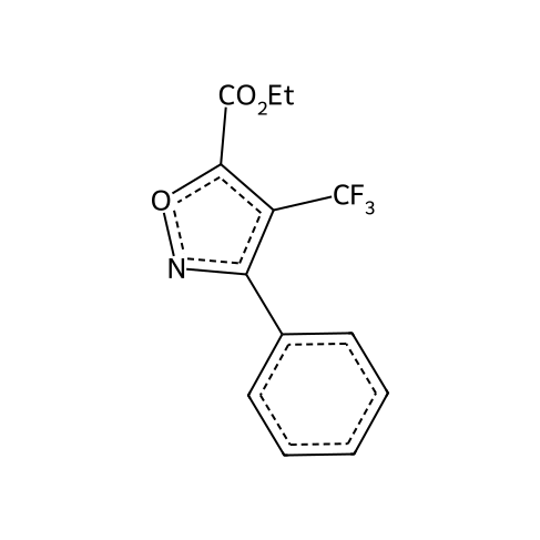 CCOC(=O)c1onc(-c2ccccc2)c1C(F)(F)F